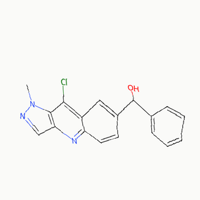 Cn1ncc2nc3ccc(C(O)c4ccccc4)cc3c(Cl)c21